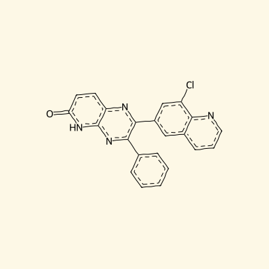 O=c1ccc2nc(-c3cc(Cl)c4ncccc4c3)c(-c3ccccc3)nc2[nH]1